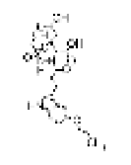 CCCOc1ccc2[nH]cc(CCC(=O)N(NS(=O)(=O)CC)C(CCC(=O)O)C(=O)O)c2c1